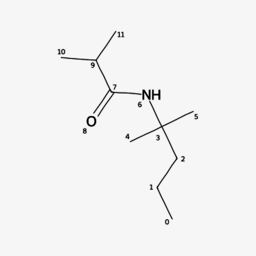 CCCC(C)(C)NC(=O)C(C)C